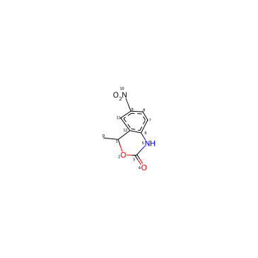 CC1OC(=O)Nc2ccc([N+](=O)[O-])cc21